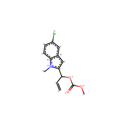 C=CC(OC(=O)OC)c1cc2cc(Br)ccc2n1C